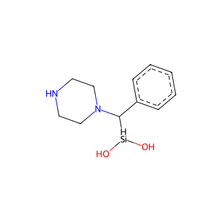 O[SiH](O)C(c1ccccc1)N1CCNCC1